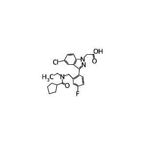 CCN(Cc1cc(F)ccc1-c1nn(CC(=O)O)c2ccc(Cl)cc12)C(=O)C1CCCC1